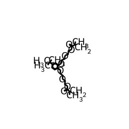 C=C(C)C(=O)OCCOCCOc1ccc(C(C)(C)C)cc1OCCOCCOC(=O)C(=C)C